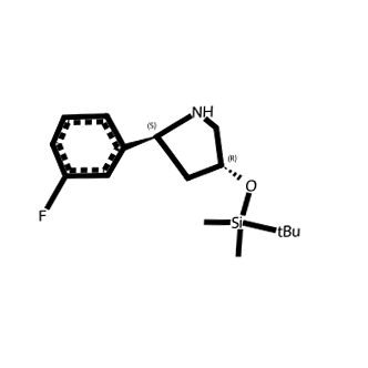 CC(C)(C)[Si](C)(C)O[C@H]1CN[C@H](c2cccc(F)c2)C1